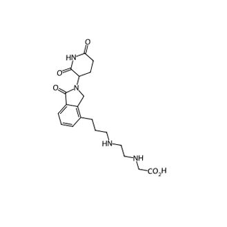 O=C(O)CNCCNCCCc1cccc2c1CN(C1CCC(=O)NC1=O)C2=O